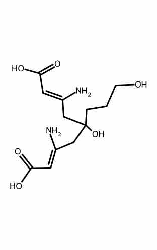 N/C(=C\C(=O)O)CC(O)(CCCO)C/C(N)=C/C(=O)O